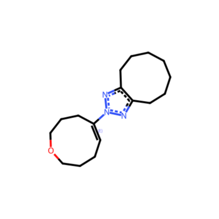 C1=C(/n2nc3c(n2)CCCCCCC3)CCCOCCC/1